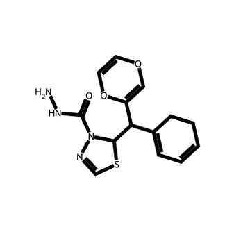 NNC(=O)N1N=[C]SC1C(C1=CC=CCC1)C1=COC=CO1